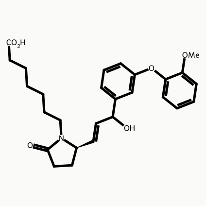 COc1ccccc1Oc1cccc(C(O)C=C[C@H]2CCC(=O)N2CCCCCCC(=O)O)c1